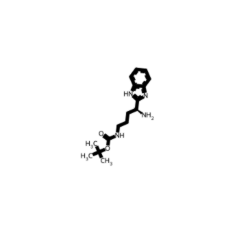 CC(C)(C)OC(=O)NCCC[C@H](N)c1nc2ccccc2[nH]1